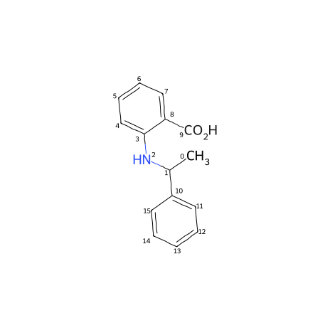 CC(Nc1ccccc1C(=O)O)c1ccccc1